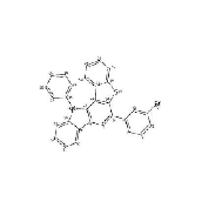 Brc1cccc(-c2cc3c4ccccc4n(-c4ccccc4)c3c3c2sc2ccccc23)c1